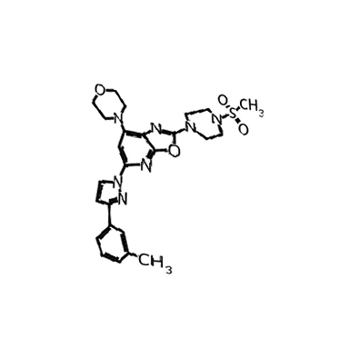 Cc1cccc(-c2ccn(-c3cc(N4CCOCC4)c4nc(N5CCN(S(C)(=O)=O)CC5)oc4n3)n2)c1